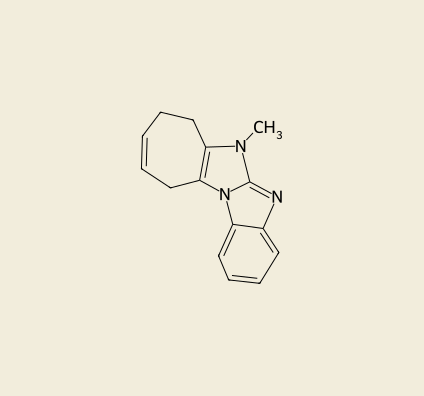 Cn1c2c(n3c4ccccc4nc13)CC=CCC2